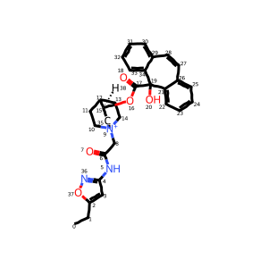 CCc1cc(NC(=O)C[N+]23CCC(CC2)[C@@H](OC(=O)C2(O)c4ccccc4C=Cc4ccccc42)C3)no1